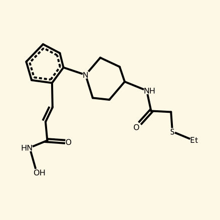 CCSCC(=O)NC1CCN(c2ccccc2C=CC(=O)NO)CC1